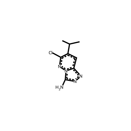 CC(C)c1cc2nnc(N)n2nc1Cl